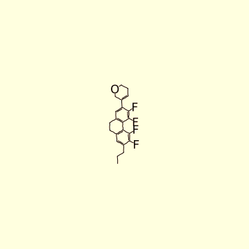 CCCc1cc2c(c(F)c1F)-c1c(cc(C3=CCCOC3)c(F)c1F)CC2